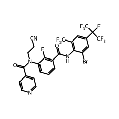 N#CCCN(C(=O)c1ccncc1)c1cccc(C(=O)Nc2c(Br)cc(C(F)(C(F)(F)F)C(F)(F)F)cc2C(F)(F)F)c1F